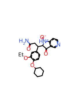 CCOc1cc(C(CC(N)=O)C2C(=O)c3cnccc3[NH+]2[O-])ccc1OC1CCCCC1